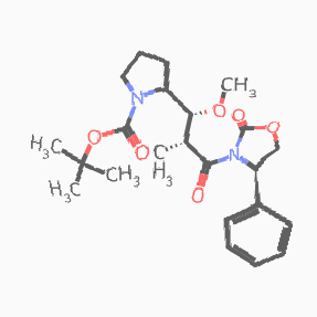 CO[C@@H](C1CCCN1C(=O)OC(C)(C)C)[C@@H](C)C(=O)N1C(=O)OC[C@H]1c1ccccc1